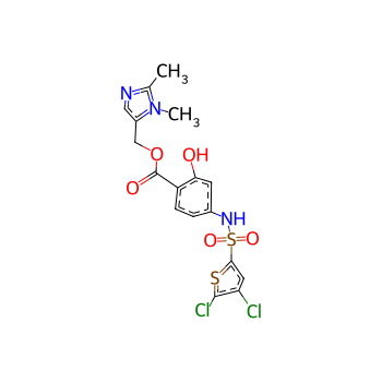 Cc1ncc(COC(=O)c2ccc(NS(=O)(=O)c3cc(Cl)c(Cl)s3)cc2O)n1C